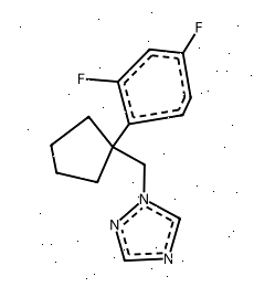 Fc1ccc(C2(Cn3cncn3)CCCC2)c(F)c1